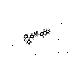 c1ccc2c(c1)Oc1ccccc1N2c1ccc(-c2nsc(-c3ccc4cc5ccccc5cc4c3)n2)cc1